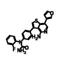 NC(=O)N(c1ccc(-c2csc3c(-c4ccoc4)cnc(N)c23)cc1)c1ccccc1F